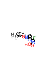 C[Si](C)(C)CCOCn1cnc2c(-c3nc(C(=O)O)ncc3Cl)cccc21